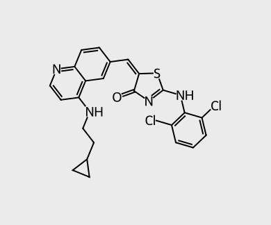 O=C1N=C(Nc2c(Cl)cccc2Cl)SC1=Cc1ccc2nccc(NCCC3CC3)c2c1